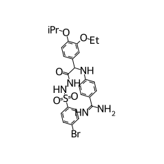 CCOc1cc(C(Nc2ccc(C(=N)N)cc2)C(=O)NNS(=O)(=O)c2ccc(Br)cc2)ccc1OC(C)C